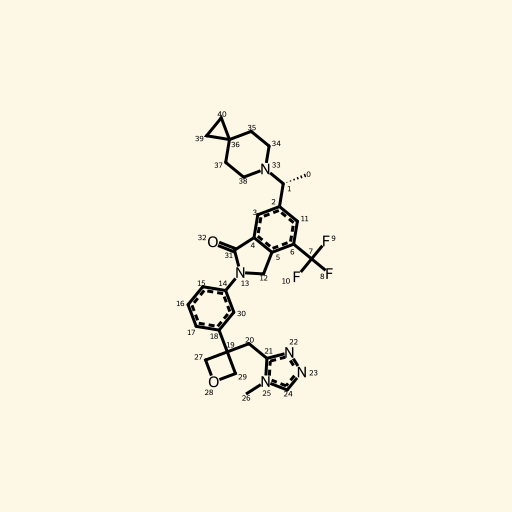 C[C@H](c1cc2c(c(C(F)(F)F)c1)CN(c1cccc(C3(Cc4nncn4C)COC3)c1)C2=O)N1CCC2(CC1)CC2